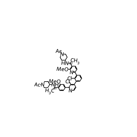 COc1cc(-c2nccc(-c3cccc(-c4ccc([C@@H](C)NC5CCN(C(C)=O)CC5)c(OC)n4)c3Cl)c2Cl)ccc1[C@@H](C)NC1CCN(C(C)=O)CC1